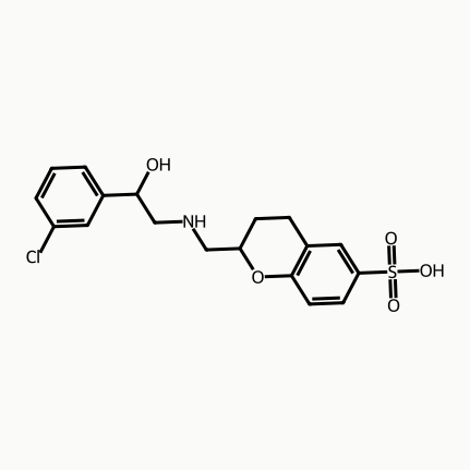 O=S(=O)(O)c1ccc2c(c1)CCC(CNCC(O)c1cccc(Cl)c1)O2